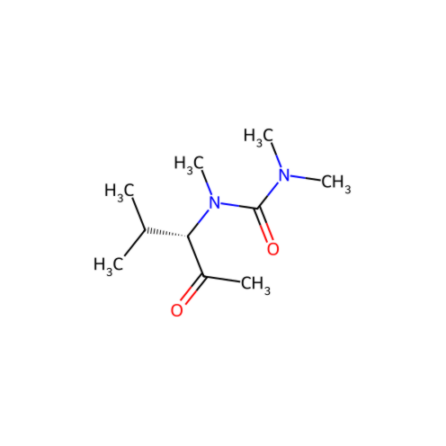 CC(=O)[C@H](C(C)C)N(C)C(=O)N(C)C